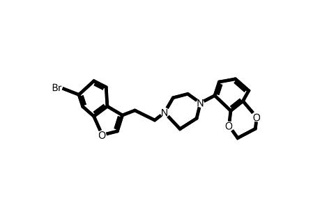 Brc1ccc2c(CCN3CCN(c4cccc5c4OCCO5)CC3)coc2c1